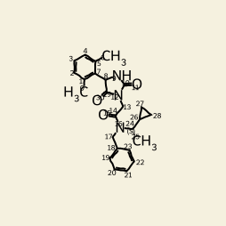 Cc1cccc(C)c1C1NC(=O)N(CC(=O)N(Cc2ccccc2)[C@@H](C)C2CC2)C1=O